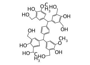 COc1cc(C(c2ccc(C(c3cc(CO)c(O)c(OC)c3)c3cc(CO)c(O)c(C(C)O)c3)cc2)c2cc(CO)c(O)c(CO)c2)cc(CO)c1O